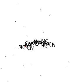 N#Cc1cc(C#N)c(-c2ccc(-c3ccc(-n4ccn(-c5ccc(-c6ccc(-c7c(C#N)cc(C#N)cc7C#N)cc6)cc5)c4=O)cc3)cc2)c(C#N)c1